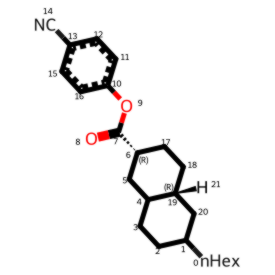 CCCCCCC1CCC2C[C@H](C(=O)Oc3ccc(C#N)cc3)CC[C@@H]2C1